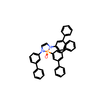 O=P1(c2cc(-c3ccccc3)cc(-c3ccccc3)c2)N(c2cccc(-c3ccccc3)c2)C=CN1c1cccc(-c2ccccc2)c1